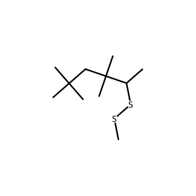 CSSC(C)C(C)(C)CC(C)(C)C